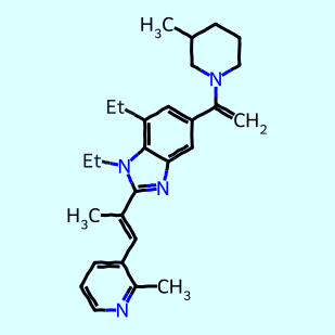 C=C(c1cc(CC)c2c(c1)nc(/C(C)=C/c1cccnc1C)n2CC)N1CCCC(C)C1